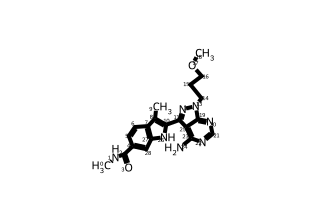 CNC(=O)c1ccc2c(C)c(-c3nn(CCCOC)c4ncnc(N)c34)[nH]c2c1